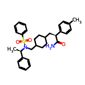 Cc1ccc([C@H](CC2CCC(CN([C@H](C)c3ccccc3)S(=O)(=O)c3ccccc3)CC2)C(N)=O)cc1